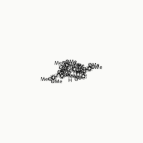 CC[C@H](C(=O)N1CCCCC1C(=O)O[C@H](CCc1ccc(OC)c(OC)c1)c1cccc(OCC(=O)NCCNC(=O)COc2cccc([C@@H](CCc3ccc(OC)c(OC)c3)OC(=O)[C@@H]3CCCCN3C(=O)[C@@H](CC)c3cc(OC)c(OC)c(OC)c3)c2)c1)c1cc(OC)c(OC)c(OC)c1